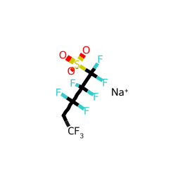 O=S(=O)([O-])C(F)(F)C(F)(F)C(F)(F)CC(F)(F)F.[Na+]